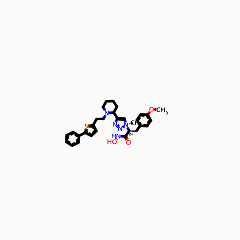 COc1ccc(C[C@@H](C(=O)NO)[N+]2(C)C=C(C3CCCCN3CCc3ccc(-c4ccccc4)s3)N=N2)cc1